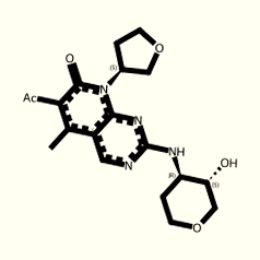 CC(=O)c1c(C)c2cnc(N[C@@H]3CCOC[C@H]3O)nc2n([C@H]2CCOC2)c1=O